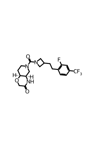 O=C1CO[C@H]2CCN(C(=O)N3CC(CCc4ccc(C(F)(F)F)cc4F)C3)C[C@H]2N1